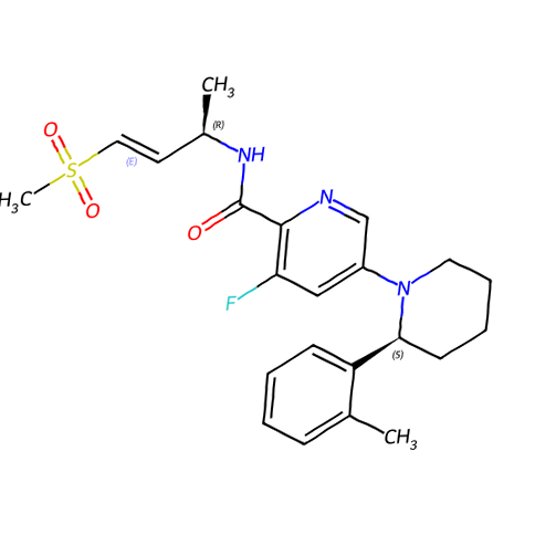 Cc1ccccc1[C@@H]1CCCCN1c1cnc(C(=O)N[C@H](C)/C=C/S(C)(=O)=O)c(F)c1